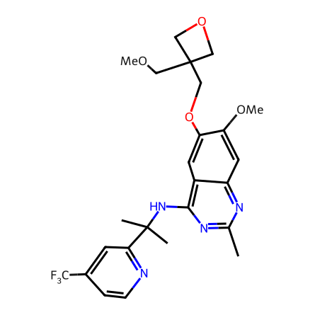 COCC1(COc2cc3c(NC(C)(C)c4cc(C(F)(F)F)ccn4)nc(C)nc3cc2OC)COC1